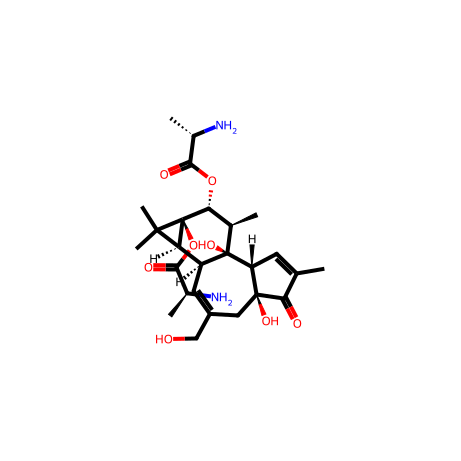 CC1=C[C@H]2[C@@]3(O)[C@H](C)[C@@H](OC(=O)[C@H](C)N)[C@]4(OC(=O)[C@H](C)N)[C@@H]([C@@H]3C=C(CO)C[C@@]2(O)C1=O)C4(C)C